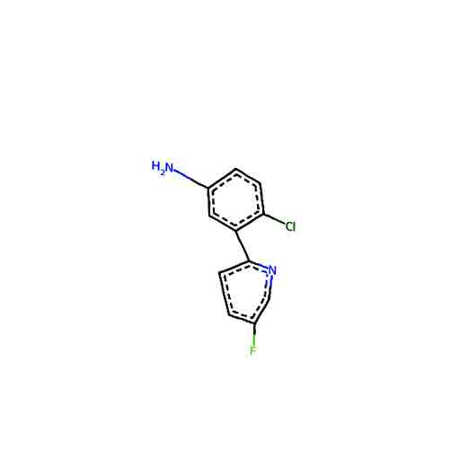 Nc1ccc(Cl)c(-c2ccc(F)cn2)c1